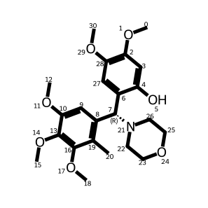 COc1cc(O)c([C@@H](c2cc(OC)c(OC)c(OC)c2C)N2CCOCC2)cc1OC